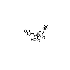 C[C@@H](O[Si](C)(C)C(C)(C)C)C1C(=O)N2C(C(=O)O)=C(SCC3CSC(=O)S3)S[C@H]12